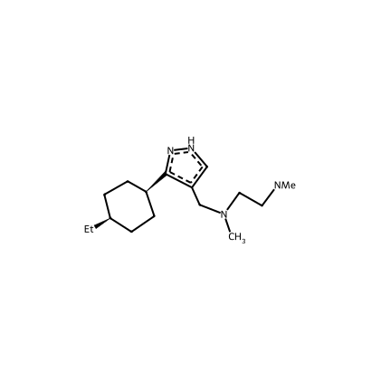 CC[C@H]1CC[C@@H](c2n[nH]cc2CN(C)CCNC)CC1